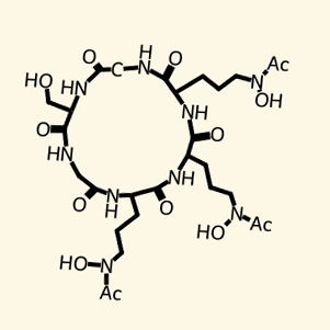 CC(=O)N(O)CCCC1NC(=O)CNC(=O)C(CO)NC(=O)CNC(=O)C(CCCN(O)C(C)=O)NC(=O)C(CCCN(O)C(C)=O)NC1=O